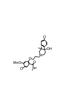 COc1cc(OCCCN2CCC(O)(c3ccc(Cl)cc3)C(C)(C)C2)c(C(=O)N(C)C)cc1Cl